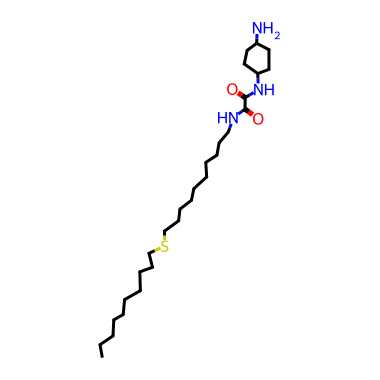 CCCCCCCCCCSCCCCCCCCCCNC(=O)C(=O)NC1CCC(N)CC1